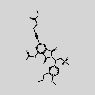 CCOc1cc(C(CS(C)(=O)=O)N2C(=O)c3cc(C#CCCC(=O)OC)cc(NC(C)=O)c3C2=O)ccc1OC